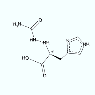 NC(=O)NN[C@@H](Cc1c[nH]cn1)C(=O)O